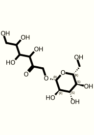 O=C(CO[C@@H]1O[C@H](CO)[C@@H](O)[C@H](O)[C@H]1O)C(O)C(O)C(O)CO